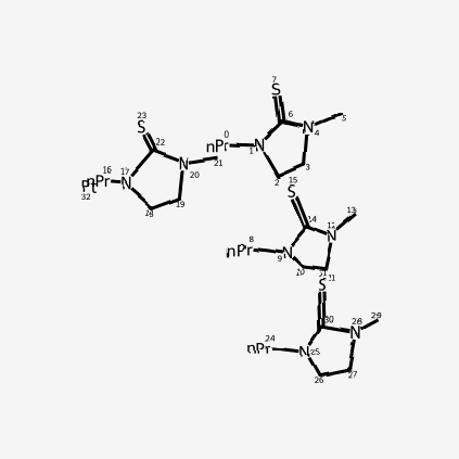 CCCN1CCN(C)C1=S.CCCN1CCN(C)C1=S.CCCN1CCN(C)C1=S.CCCN1CCN(C)C1=S.[Pt]